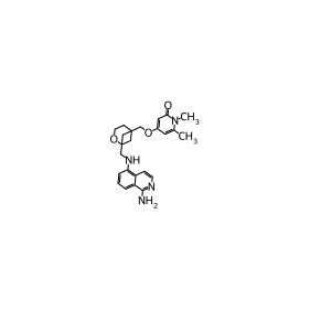 Cc1cc(OCC23CCOC(CNc4cccc5c(N)nccc45)(C2)C3)cc(=O)n1C